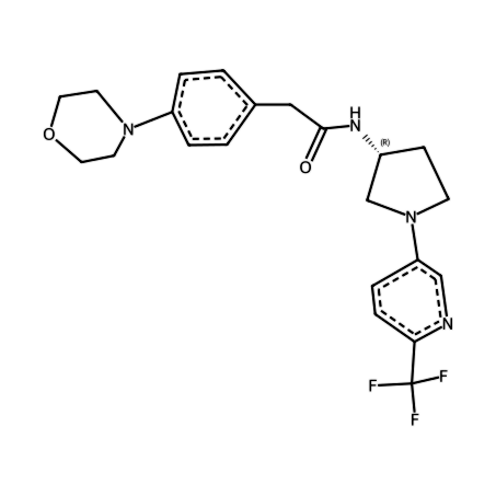 O=C(Cc1ccc(N2CCOCC2)cc1)N[C@@H]1CCN(c2ccc(C(F)(F)F)nc2)C1